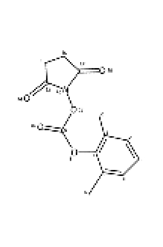 Cc1cccc(C)c1OC(=O)ON1C(=O)CCC1=O